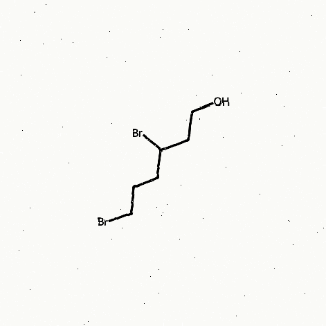 OCCC(Br)CCCBr